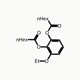 CCCCCCC(=O)Oc1cccc(OCC)c1OC(=O)CCCCCC